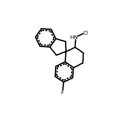 Fc1ccc2c(c1)CCC(NCl)C21Cc2ccccc2C1